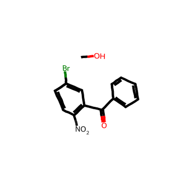 CO.O=C(c1ccccc1)c1cc(Br)ccc1[N+](=O)[O-]